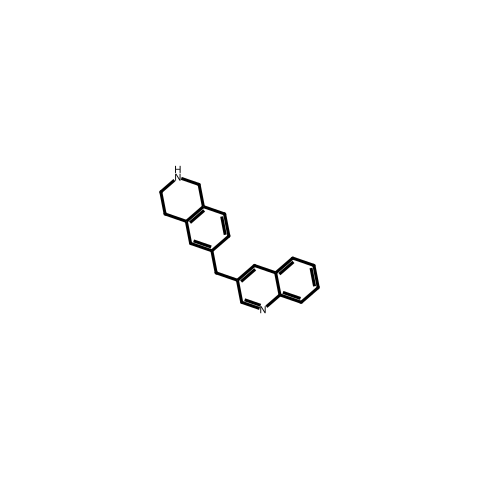 c1ccc2ncc(Cc3ccc4c(c3)CCNC4)cc2c1